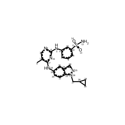 Cc1cnc(Nc2cccc(S(N)(=O)=O)c2)nc1Nc1ccc2c(cnn2CC2CC2)c1